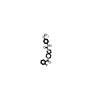 O=C(Nc1ccc(OC(F)(F)F)cc1)N1CCC2(CCN(C(=O)c3ccccc3F)CC2)C1